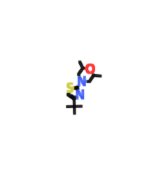 CC1CN(c2nc(C(C)(C)C)cs2)CC(C)O1